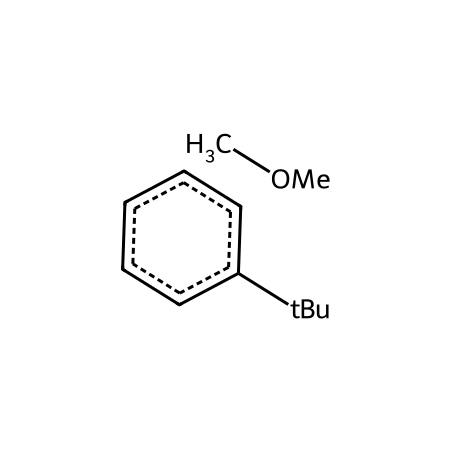 CC(C)(C)c1ccccc1.COC